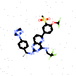 C[C@@H](Nc1nc(NCC(F)(F)F)c2nc(-c3ccc(OC(F)F)c(S(C)(=O)=O)c3)ccc2n1)c1ccc(-n2cncn2)cc1